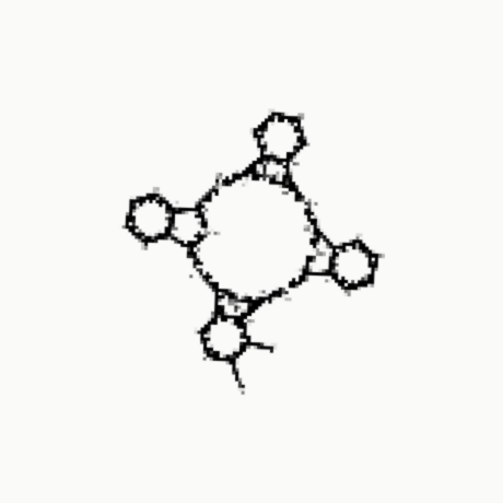 Fc1[c]([Ti])ccc2c3nc4nc(nc5[nH]c(nc6nc(nc([nH]3)c12)-c1ccccc1-6)c1ccccc51)-c1ccccc1-4